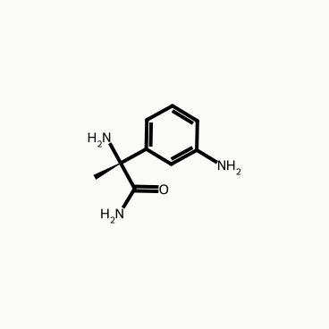 C[C@](N)(C(N)=O)c1cccc(N)c1